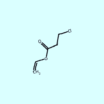 C=COC(=O)CCCl